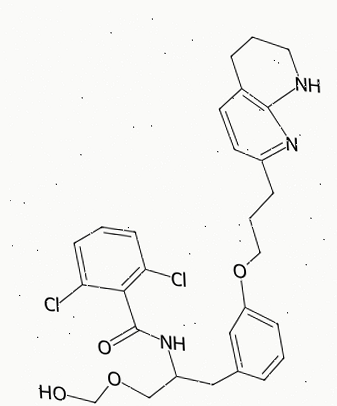 O=C(NC(COCO)Cc1cccc(OCCCc2ccc3c(n2)NCCC3)c1)c1c(Cl)cccc1Cl